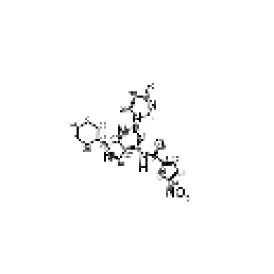 CC1=NCN(c2nc(NC(=O)c3ccc([N+](=O)[O-])s3)c3cnn(C4CCCCC4)c3n2)C=C1